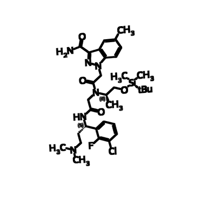 Cc1ccc2c(c1)c(C(N)=O)nn2CC(=O)N(CC(=O)N[C@@H](CCN(C)C)c1cccc(Cl)c1F)[C@H](C)CO[Si](C)(C)C(C)(C)C